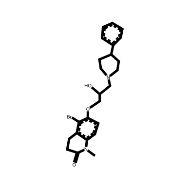 CN1C(=O)CCc2c1ccc(OCC(O)CN1CCC(c3ccccc3)CC1)c2Br